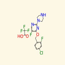 Fc1cc(Cl)ccc1COc1nc(N2CCNCC2)ncc1F.O=C(O)C(F)(F)F